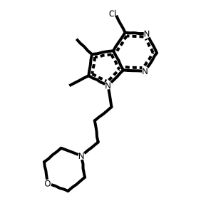 Cc1c(C)n(CCCN2CCOCC2)c2ncnc(Cl)c12